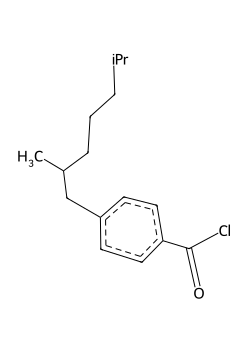 CC(C)CCCC(C)Cc1ccc(C(=O)Cl)cc1